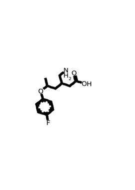 CC(CC(CN)CC(=O)O)Oc1ccc(F)cc1